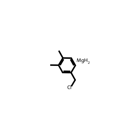 Cc1ccc(CCl)cc1C.[MgH2]